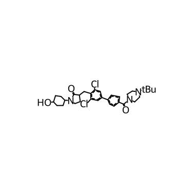 CC(C)(C)N1CCN(C(=O)c2ccc(-c3cc(Cl)c(CC4CCN(C5CCC(O)CC5)C4=O)c(Cl)c3)cc2)CC1